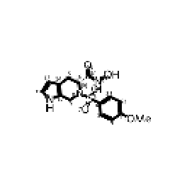 COc1ccc(S(=O)(=O)N2Cc3[nH]ccc3C[C@@H]2C(=O)NO)cc1